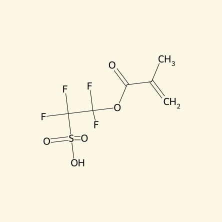 C=C(C)C(=O)OC(F)(F)C(F)(F)S(=O)(=O)O